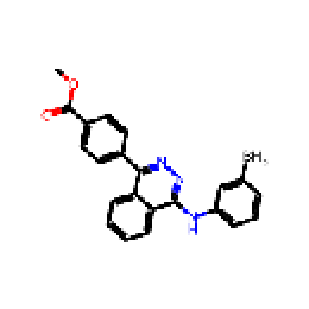 Bc1cccc(Nc2nnc(-c3ccc(C(=O)OC)cc3)c3ccccc23)c1